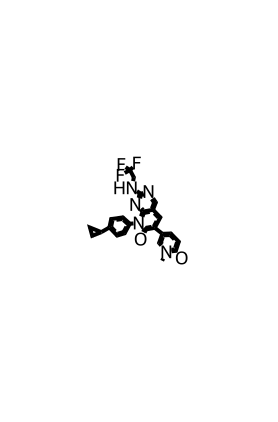 Cn1cc(-c2cc3cnc(NCC(F)(F)F)nc3n(-c3ccc(C4CC4)cc3)c2=O)ccc1=O